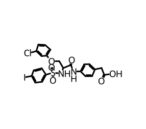 O=C(O)Cc1ccc(NC(=O)C(COc2cccc(Cl)c2)NS(=O)(=O)c2ccc(I)cc2)cc1